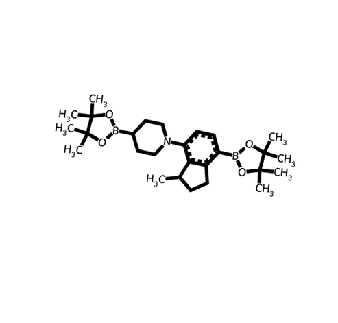 CC1CCc2c(B3OC(C)(C)C(C)(C)O3)ccc(N3CCC(B4OC(C)(C)C(C)(C)O4)CC3)c21